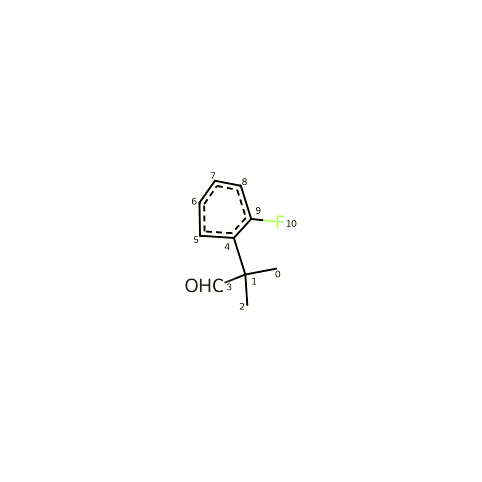 CC(C)(C=O)c1ccccc1F